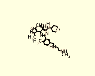 CNCCNCc1ccc(C)c(-c2nc(NC3CCOCC3)c(C)c(-c3c(C)noc3C)n2)c1